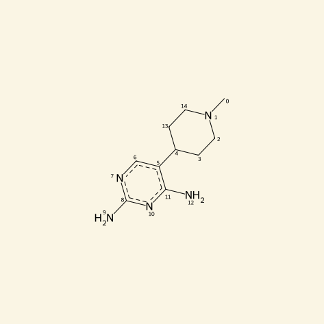 CN1CCC(c2cnc(N)nc2N)CC1